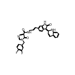 O=C1Nc2cc(/C=C/CNC(=O)c3cncn(Cc4ccc(F)c(F)c4)c3=O)ccc2/C1=C1\C=Cc2ccccc2N1